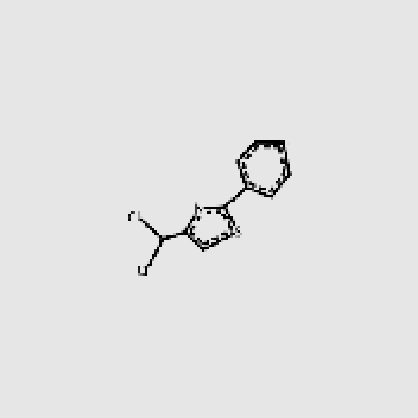 ClC(Cl)c1csc(-c2cc[c]cc2)n1